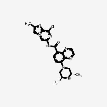 Cc1cn2cc(NC(=O)c3ccc(N4C[C@H](C)N[C@@H](C)C4)c4nccnc34)nc(Cl)c2n1